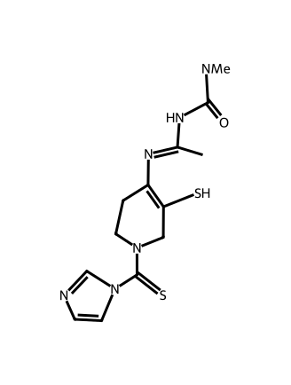 CNC(=O)N/C(C)=N/C1=C(S)CN(C(=S)n2ccnc2)CC1